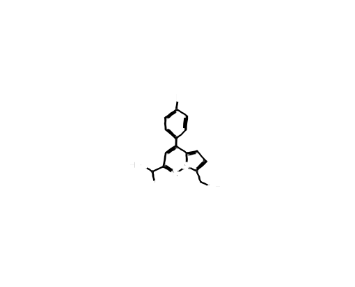 CCc1ccc2c(-c3ccc(F)cc3)[c]c(C(C)C)nn12